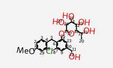 COc1ccc(Cc2c(Cl)cc(CO)cc2O[C@@H]2O[C@H]([C@H](C)O)[C@@H](O)[C@H](O)[C@H]2O)cc1